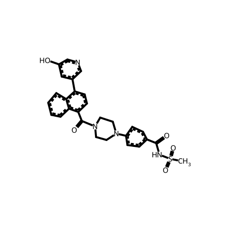 CS(=O)(=O)NC(=O)c1ccc(N2CCN(C(=O)c3ccc(-c4cncc(O)c4)c4ccccc34)CC2)cc1